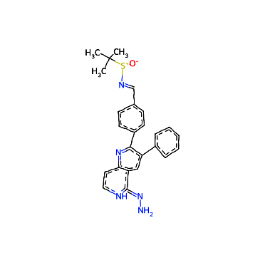 CC(C)(C)[S+]([O-])/N=C/c1ccc(-c2nc3cc[nH]/c(=N\N)c3cc2-c2ccccc2)cc1